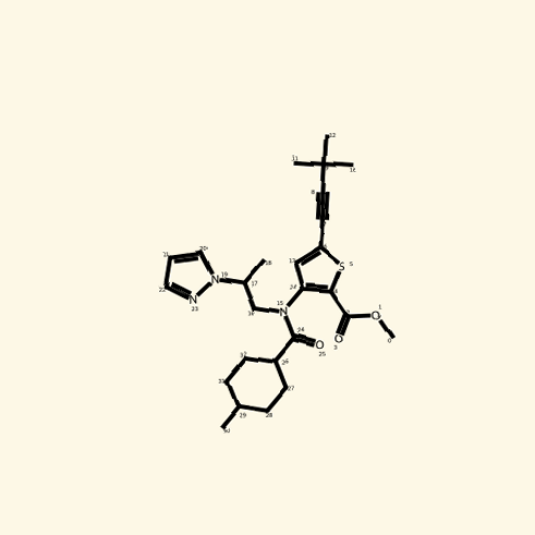 COC(=O)c1sc(C#CC(C)(C)C)cc1N(CC(C)n1cccn1)C(=O)C1CCC(C)CC1